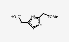 COCc1nc(CC(=O)O)co1